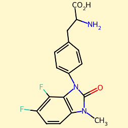 Cn1c(=O)n(-c2ccc(CC(N)C(=O)O)cc2)c2c(F)c(F)ccc21